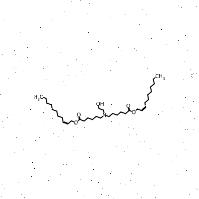 CCCCCCCC/C=C\COC(=O)CCCCCN(CCO)CCCCCC(=O)OC/C=C\CCCCCCCC